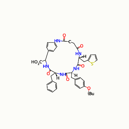 CC(C)(C)Oc1ccc(C[C@@H]2NC(=O)[C@@H](Cc3cccs3)NC(=O)CCC(=O)Nc3ccc(cc3)C(C(=O)O)NC(=O)[C@@H](Cc3ccccc3)NC2=O)cc1